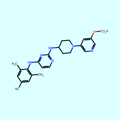 Cc1cc(C#N)cc(C)c1Nc1ccnc(NC2CCN(c3cncc(OC(=O)O)c3)CC2)n1